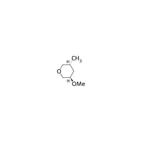 CO[C@H]1COC[C@H](C)C1